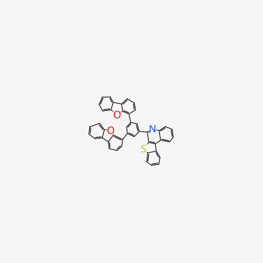 c1ccc2c(c1)nc(-c1cc(-c3cccc4c3oc3ccccc34)cc(-c3cccc4c3oc3ccccc34)c1)c1sc3ccccc3c12